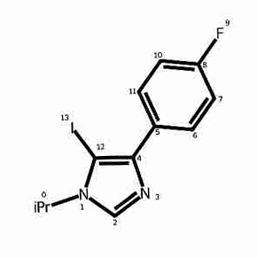 CC(C)n1cnc(-c2ccc(F)cc2)c1I